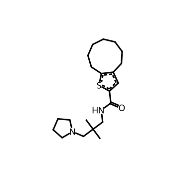 CC(C)(CNC(=O)c1cc2c(s1)CCCCCCC2)CN1CCCC1